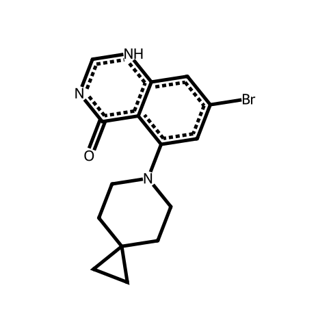 O=c1nc[nH]c2cc(Br)cc(N3CCC4(CC3)CC4)c12